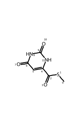 CSC(=O)c1cc(=O)[nH]c(=O)[nH]1